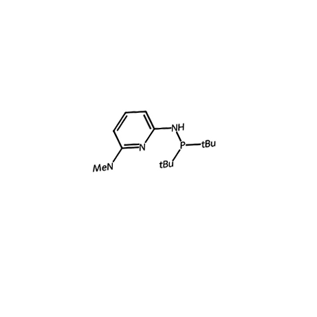 CNc1cccc(NP(C(C)(C)C)C(C)(C)C)n1